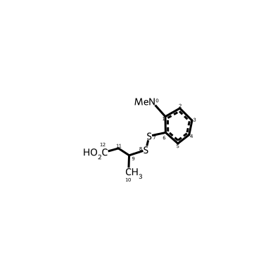 CNc1ccccc1SSC(C)CC(=O)O